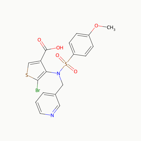 COc1ccc(S(=O)(=O)N(Cc2cccnc2)c2c(C(=O)O)csc2Br)cc1